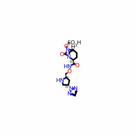 O=C(NOC[C@H]1C[C@H](n2nccn2)CN1)[C@@H]1CC[C@@H]2CN1C(=O)N2OS(=O)(=O)O